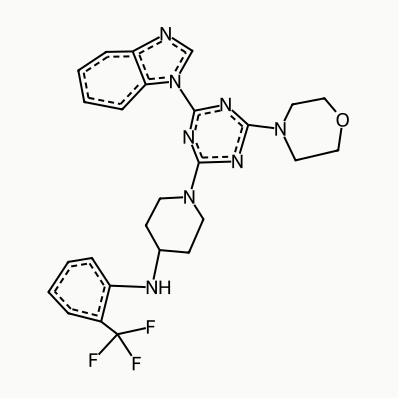 FC(F)(F)c1ccccc1NC1CCN(c2nc(N3CCOCC3)nc(-n3cnc4ccccc43)n2)CC1